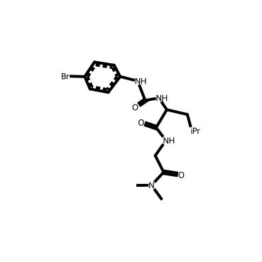 CC(C)CC(NC(=O)Nc1ccc(Br)cc1)C(=O)NCC(=O)N(C)C